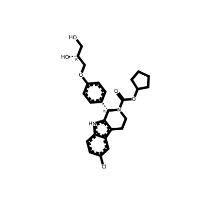 O=C(OC1CCCC1)N1CCc2c([nH]c3ccc(Cl)cc23)[C@@H]1c1ccc(OC[C@H](O)CO)cc1